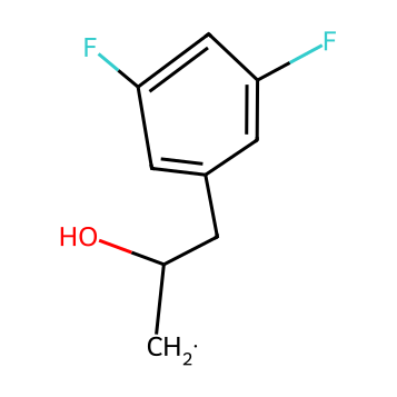 [CH2]C(O)Cc1cc(F)cc(F)c1